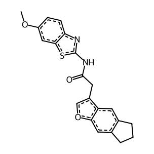 COc1ccc2nc(NC(=O)Cc3coc4cc5c(cc34)CCC5)sc2c1